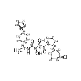 C[C@@H](NC(=O)[C@H](O)[C@@H](O)C(=O)N1CCCC1c1cccc(Cl)c1)c1ccc(-n2cccn2)cc1